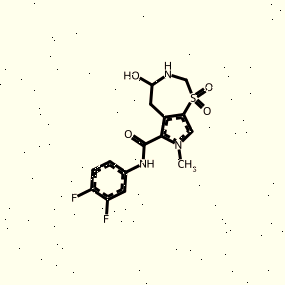 Cn1cc2c(c1C(=O)Nc1ccc(F)c(F)c1)CC(O)NCS2(=O)=O